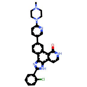 CN1CCN(c2ccc(-c3ccc4c(c3)c3c(=O)[nH]ccc3c3[nH]c(-c5ccccc5Cl)nc43)cn2)CC1